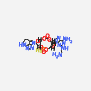 NCCNc1nc(N)c2ncn([C@@H]3O[C@@H]4COP(=O)(S)O[C@H]5C[C@H](n6cc7c8c(ncnc86)NCCC7)O[C@@H]5COC(=O)O[C@@H]3[C@@H]4F)c2n1